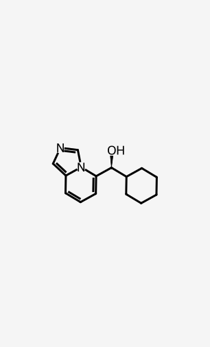 O[C@H](c1cccc2cncn12)C1CCCCC1